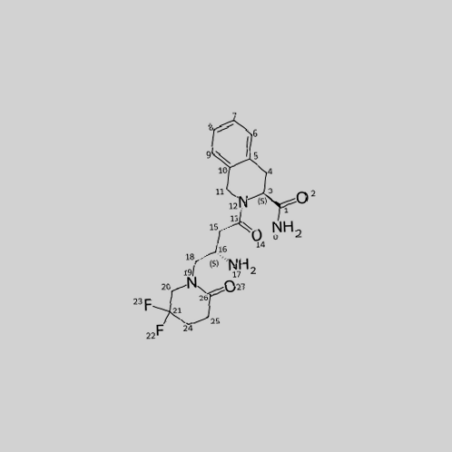 NC(=O)[C@@H]1Cc2ccccc2CN1C(=O)C[C@H](N)CN1CC(F)(F)CCC1=O